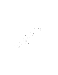 COc1ccc(-c2cnc3c(Nc4ccc(C(=O)N5CCNC6(CC6)C5)c(C)c4)nccn23)cc1F